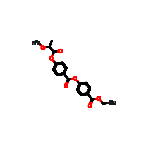 CCCOC(C)C(=O)Oc1ccc(C(=O)Oc2ccc(C(=O)OCC(C)CC)cc2)cc1